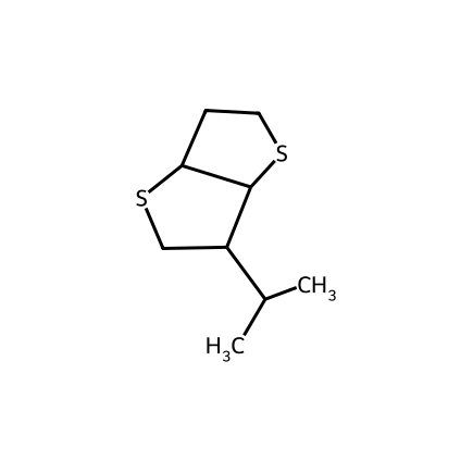 CC(C)C1CSC2CCSC21